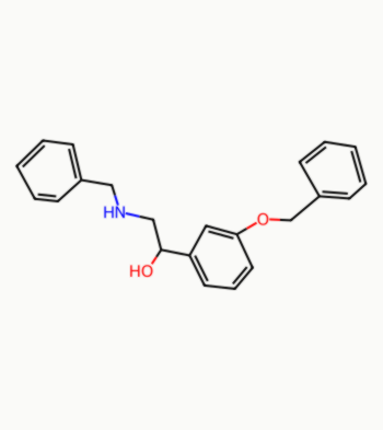 OC(CNCc1ccccc1)c1cccc(OCc2ccccc2)c1